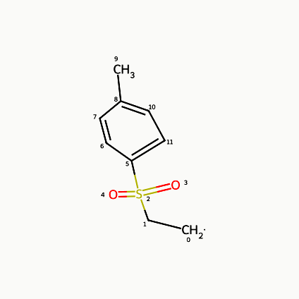 [CH2]CS(=O)(=O)c1ccc(C)cc1